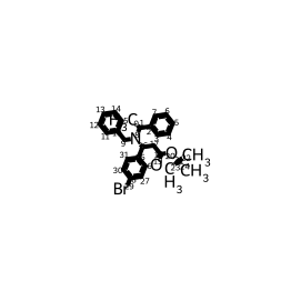 CC(c1ccccc1)N(Cc1ccccc1)C(CC(=O)OC(C)(C)C)c1ccc(Br)cc1